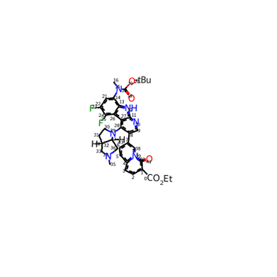 CCOC(=O)c1ccc2ccc(-c3cnc4[nH]c5c(N(C)C(=O)OC(C)(C)C)cc(F)c(F)c5c4c3N3CC[C@H]4CN(C)C[C@H]43)cn2c1=O